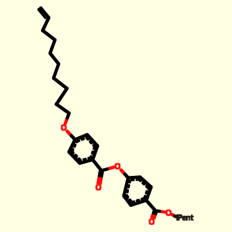 C=CCCCCCCCCOc1ccc(C(=O)Oc2ccc(C(=O)OC(C)CCC)cc2)cc1